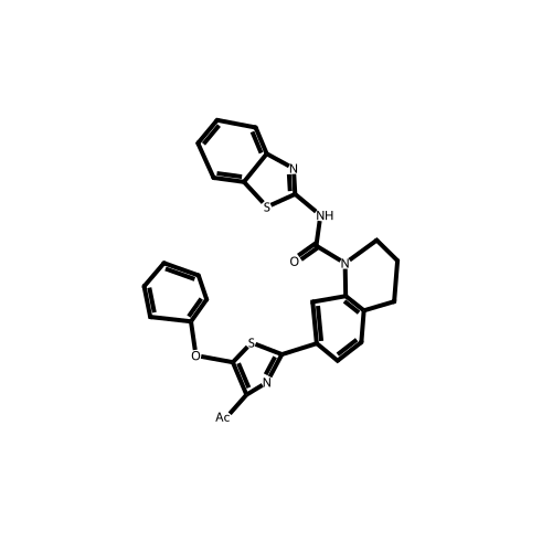 CC(=O)c1nc(-c2ccc3c(c2)N(C(=O)Nc2nc4ccccc4s2)CCC3)sc1Oc1ccccc1